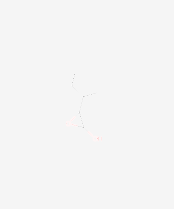 [CH2]CC(C)C1OC1O